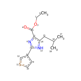 CCOC(=O)c1nc(-c2ccsc2)[nH]c1CC(C)C